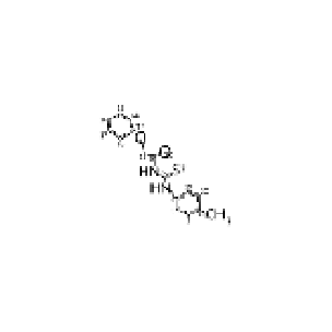 Cc1ccc(NC(=S)NC(=O)COc2ccccc2)cc1